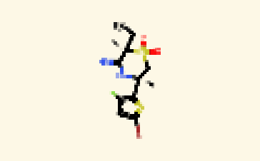 C[C@@]1(c2sc(Br)cc2F)CS(=O)(=O)[C@](C)(CC(F)(F)F)C(=N)N1